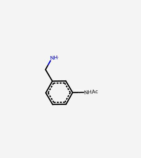 CC(=O)Nc1cccc(C[NH])c1